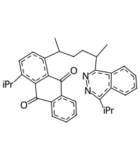 CC(C)c1ccc(C(C)CCC(C)c2nnc(C(C)C)c3ccccc23)c2c1C(=O)c1ccccc1C2=O